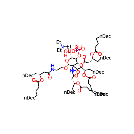 CCCCCCCCCCCCCC(=O)O[C@H](CCCCCCCCCCC)CC(=O)NCCO[C@@H]1O[C@H](CO)[C@@H](OP(=O)(O)O)[C@H](OC(=O)C[C@@H](CCCCCCCCCCC)OC(=O)CCCCCCCCCCCCC)[C@]1(NC(=O)C[C@@H](CCCCCCCCCCC)OC(=O)CCCCCCCCCCCCC)C(=O)C[C@@H](CCCCCCCCCCC)OC(=O)CCCCCCCCCCCCC.CCN(CC)CC